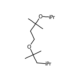 CC(C)CC(C)(C)OCCC(C)(C)OC(C)C